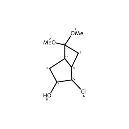 COC1(OC)CC2C(Cl)C(O)CC21